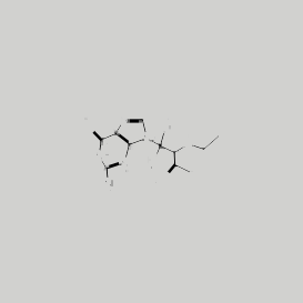 CCOC(C(C)=O)C(O)(O)n1cnc2c(=O)[nH]c(N)nc21